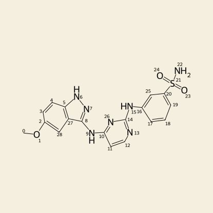 COc1ccc2[nH]nc(Nc3ccnc(Nc4cccc(S(N)(=O)=O)c4)n3)c2c1